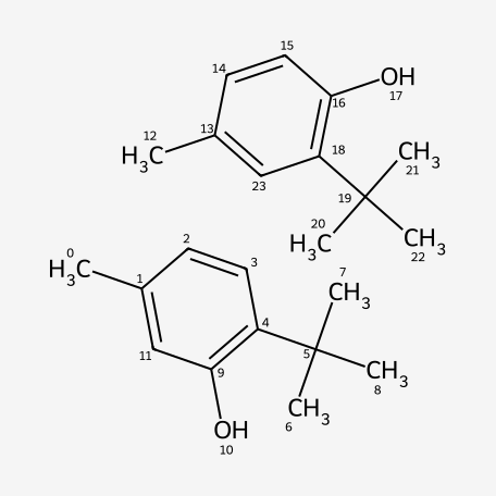 Cc1ccc(C(C)(C)C)c(O)c1.Cc1ccc(O)c(C(C)(C)C)c1